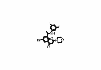 CC(Nc1cc(F)cc(F)c1)c1cc(Br)cc2c(=O)cc(N3CCOCC3)oc12